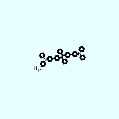 CC1C=CC(N(C2=CCCC=C2)c2ccc(-c3ccc(/C(=C(\c4ccccc4)c4ccc(-c5ccc(N(c6ccccc6)c6ccccc6)cc5)cc4)c4ccccc4)cc3)cc2)=CC1